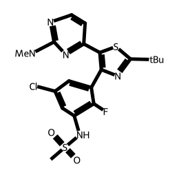 CNc1nccc(-c2sc(C(C)(C)C)nc2-c2cc(Cl)cc(NS(C)(=O)=O)c2F)n1